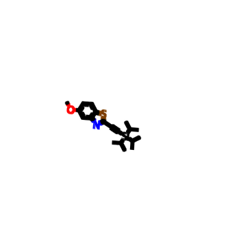 COc1ccc2sc(C#C[Si](C(C)C)(C(C)C)C(C)C)nc2c1